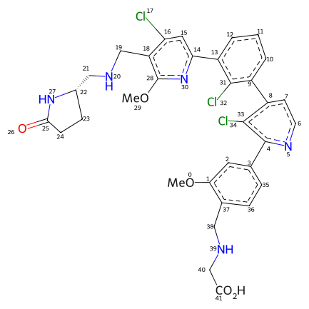 COc1cc(-c2nccc(-c3cccc(-c4cc(Cl)c(CNC[C@@H]5CCC(=O)N5)c(OC)n4)c3Cl)c2Cl)ccc1CNCC(=O)O